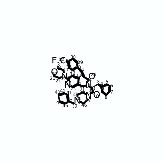 O=C([C@H](Cc1ccccc1)N(Cc1ccc(N2CCOCC2)nc1)C(=O)C=Cc1ccc(C(F)(F)F)cc1)N1CCN(Cc2ccccc2)CC1